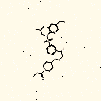 CCc1ccc(N(CC(C)C)S(=O)(=O)c2ccc3c(c2)C(O)CCN3C2CCN(C(=O)OC)CC2)cc1